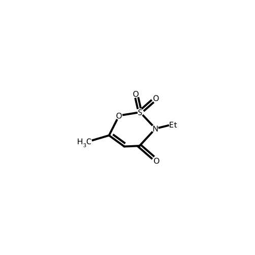 CCN1C(=O)C=C(C)OS1(=O)=O